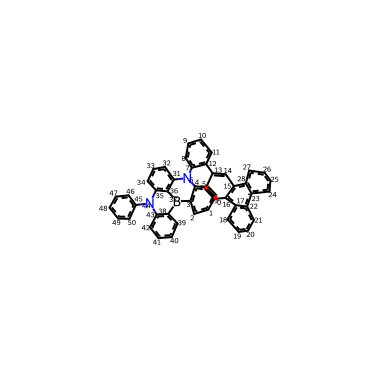 c1ccc2c(c#1)N(c1ccccc1C1=Cc3c(c4ccccc4c4ccccc34)CC1)c1cccc3c1B2c1ccccc1N3c1ccccc1